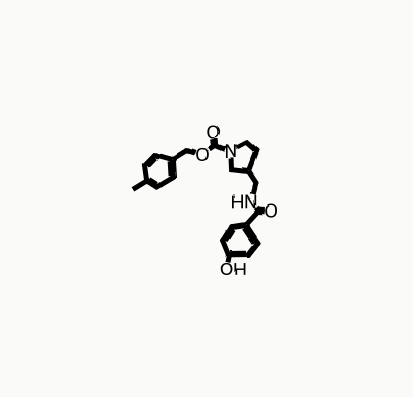 Cc1ccc(COC(=O)N2CCC(CNC(=O)c3ccc(O)cc3)C2)cc1